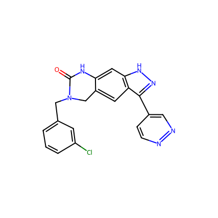 O=C1Nc2cc3[nH]nc(-c4ccnnc4)c3cc2CN1Cc1cccc(Cl)c1